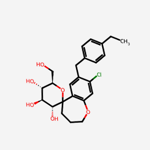 CCc1ccc(Cc2cc3c(cc2Cl)OCCCC32O[C@H](CO)[C@@H](O)[C@H](O)[C@H]2O)cc1